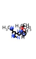 Cn1cc(-c2cc(-c3ccc(N4C[C@@H]5CC[C@@H]4C[C@@H](NC(=O)OC(C)(C)C)C5)nc3)c3c(C#N)cnn3c2)cn1